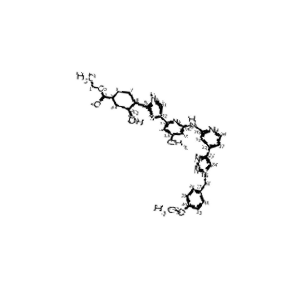 CCOC(=O)C1CCC(c2ncc(-c3cc(C)cc(Nc4cc(-c5cn(Cc6ccc(OC)cc6)nn5)ccn4)n3)s2)C(O)C1